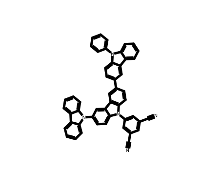 N#Cc1cc(C#N)cc(-n2c3ccc(-c4ccc5c(c4)c4ccccc4n5-c4ccccc4)cc3c3cc(-n4c5ccccc5c5ccccc54)ccc32)c1